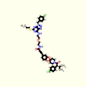 CCCSc1nc(NCCOCCNC(=O)C#Cc2ccc3c(c2)OC2(CCN(C(=O)[C@H](c4ccc(Cl)cc4)C(C)C)CC2)O3)c2nnn(Cc3ccc(Cl)cc3)c2n1